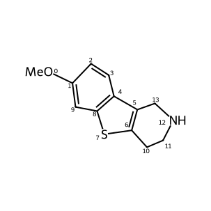 COc1ccc2c3c(sc2c1)CCNC3